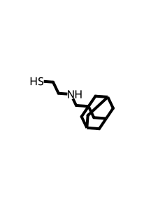 SCCNCC12CC3CC(CC(C3)C1)C2